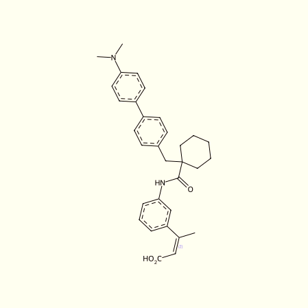 C/C(=C/C(=O)O)c1cccc(NC(=O)C2(Cc3ccc(-c4ccc(N(C)C)cc4)cc3)CCCCC2)c1